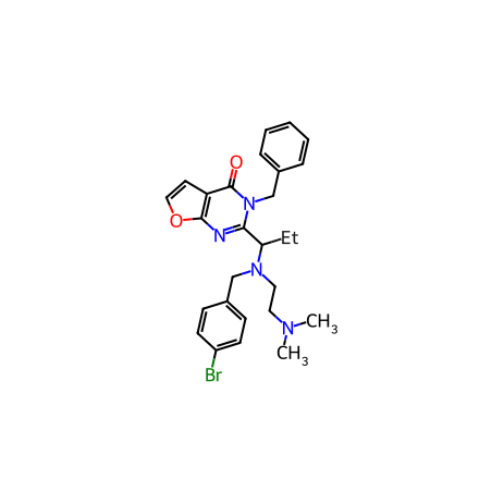 CCC(c1nc2occc2c(=O)n1Cc1ccccc1)N(CCN(C)C)Cc1ccc(Br)cc1